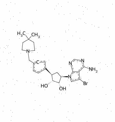 CC1(C)CCN(Cc2ccc([C@H]3C[C@@H](n4cc(Br)c5c(N)ncnc54)[C@H](O)[C@@H]3O)cc2)CC1